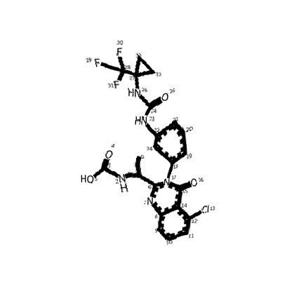 CC(NC(=O)O)c1nc2cccc(Cl)c2c(=O)n1-c1cccc(NC(=O)NC2(C(F)(F)F)CC2)c1